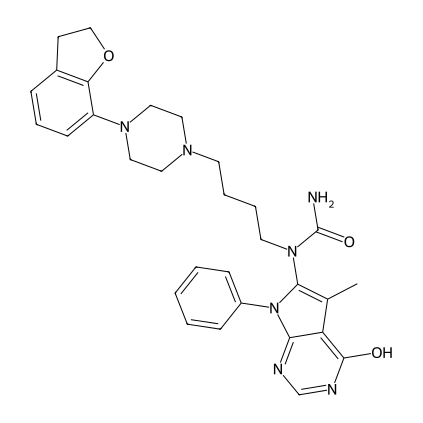 Cc1c(N(CCCCN2CCN(c3cccc4c3OCC4)CC2)C(N)=O)n(-c2ccccc2)c2ncnc(O)c12